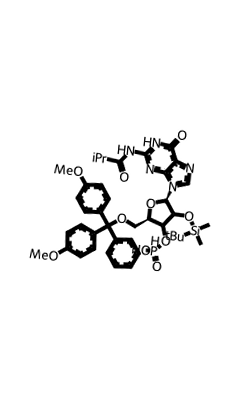 COc1ccc(C(OC[C@H]2O[C@@H](n3cnc4c(=O)[nH]c(NC(=O)C(C)C)nc43)C(O[Si](C)(C)C(C)(C)C)C2O[PH](=O)O)(c2ccccc2)c2ccc(OC)cc2)cc1